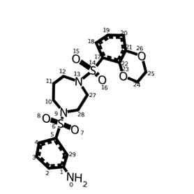 Nc1cccc(S(=O)(=O)N2CCCN(S(=O)(=O)c3cccc4c3OCCO4)CC2)c1